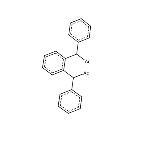 CC(=O)C(c1ccccc1)c1ccccc1C(C(C)=O)c1ccccc1